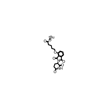 CC(C)(C)OC(=O)CCCCOc1cccc2c1C(=O)N(C1CCC(=O)NC1=O)C2=O